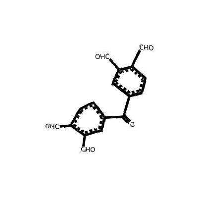 O=Cc1ccc(C(=O)c2ccc(C=O)c(C=O)c2)cc1C=O